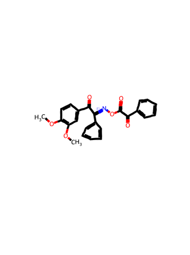 COc1ccc(C(=O)/C(=N/OC(=O)C(=O)c2ccccc2)c2ccccc2)cc1OC